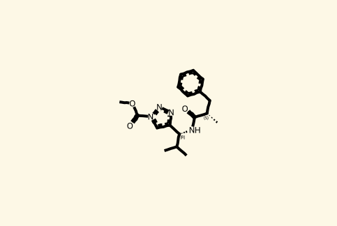 COC(=O)n1cc([C@H](NC(=O)[C@@H](C)Cc2ccccc2)C(C)C)nn1